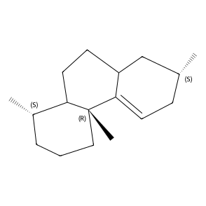 C[C@@H]1CC=C2C(CCC3[C@@H](C)CCC[C@@]23C)C1